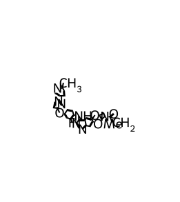 C=CC(=O)N1CC(Oc2cc3c(Nc4ccc(Oc5ccn(-c6ccc(C)nc6)n5)cc4F)ncnc3cc2OC)C1